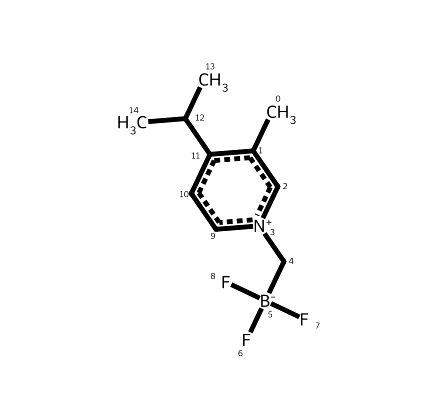 Cc1c[n+](C[B-](F)(F)F)ccc1C(C)C